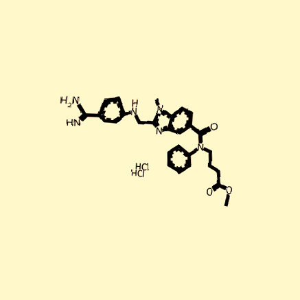 COC(=O)CCCN(C(=O)c1ccc2c(c1)nc(CNc1ccc(C(=N)N)cc1)n2C)c1ccccc1.Cl.Cl